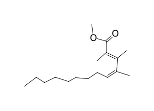 CCCCCCCCC=C(C)C(C)=C(C)C(=O)OC